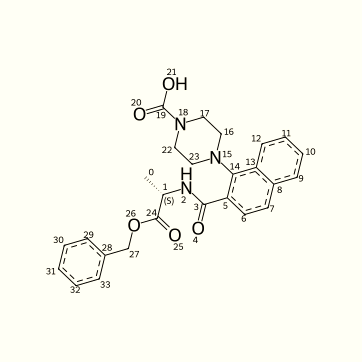 C[C@H](NC(=O)c1ccc2ccccc2c1N1CCN(C(=O)O)CC1)C(=O)OCc1ccccc1